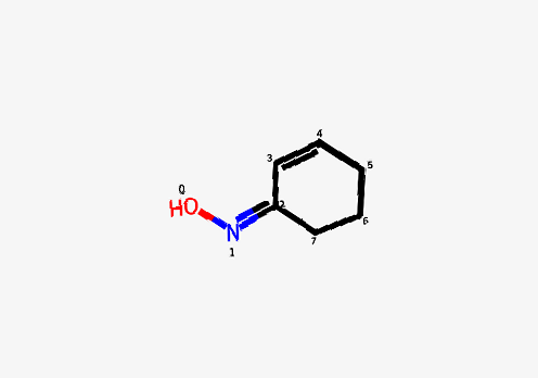 ON=C1C=[C]CCC1